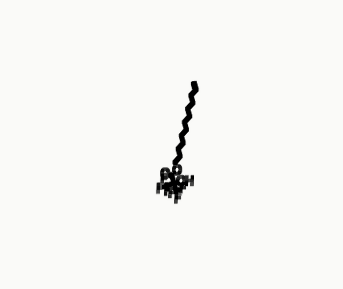 C=CCCCCCCCCCCCOC(=O)C(O)(C(F)(F)F)C(F)(F)F